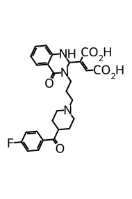 O=C(O)/C=C(\C(=O)O)C1Nc2ccccc2C(=O)N1CCCN1CCC(C(=O)c2ccc(F)cc2)CC1